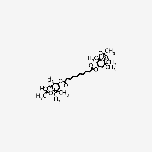 CC(=O)ON1C(C)(C)CC(OC(=O)CCCCCCCCC(=O)OC2CC(C)(C)N(OC(C)=O)C(C)(C)C2)CC1(C)C